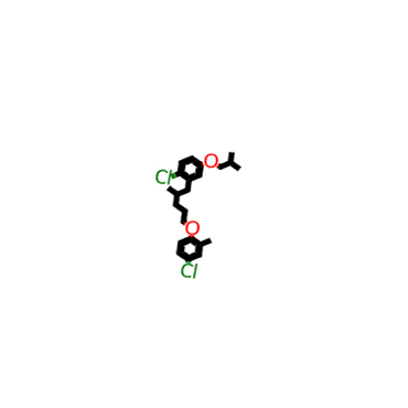 Cc1cc(Cl)ccc1OCCCC(C)Cc1cc(OCC(C)C)ccc1Cl